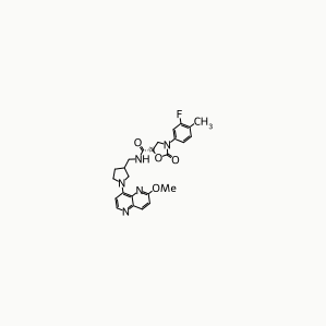 COc1ccc2nccc(N3CCC(CNC(=O)[C@@H]4CN(c5ccc(C)c(F)c5)C(=O)O4)C3)c2n1